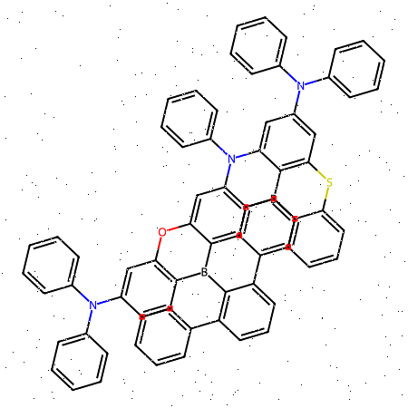 c1ccc(-c2cccc(-c3ccccc3)c2B2c3ccc(N(c4ccccc4)c4ccccc4)cc3Oc3cc4c(cc32)B2c3ccccc3Sc3cc(N(c5ccccc5)c5ccccc5)cc(c32)N4c2ccccc2)cc1